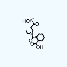 CCN(CCC(=O)N(C)O)C(=O)[C@@H]1CCCC[C@H]1C(=O)O